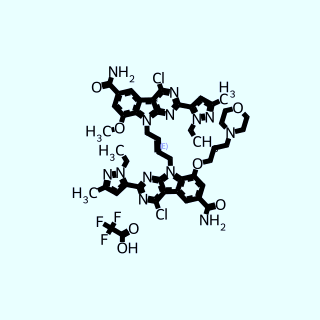 CCn1nc(C)cc1-c1nc(Cl)c2c3cc(C(N)=O)cc(OC)c3n(C/C=C/Cn3c4nc(-c5cc(C)nn5CC)nc(Cl)c4c4cc(C(N)=O)cc(OCCCN5CCOCC5)c43)c2n1.O=C(O)C(F)(F)F